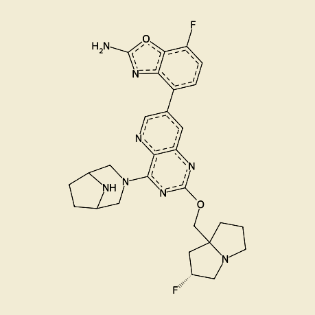 Nc1nc2c(-c3cnc4c(N5CC6CCC(C5)N6)nc(OCC56CCCN5C[C@H](F)C6)nc4c3)ccc(F)c2o1